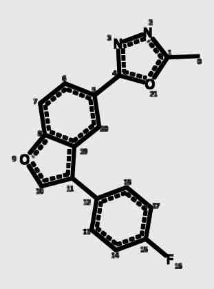 Cc1nnc(-c2ccc3occ(-c4ccc(F)cc4)c3c2)o1